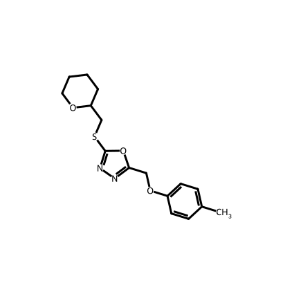 Cc1ccc(OCc2nnc(SCC3CCCCO3)o2)cc1